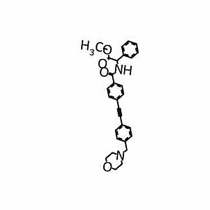 COC(=O)C(NC(=O)c1ccc(C#Cc2ccc(CN3CCOCC3)cc2)cc1)c1ccccc1